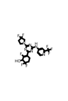 OC1C(F)=C(c2nc(Nc3ccnc(C(F)(F)F)c3)nc(N3CCC(F)(F)C3)n2)CCC1(F)F